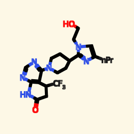 CCCc1cn(CCO)c(C2CCN(c3ncnc4c3C(C(F)(F)F)CC(=O)N4)CC2)n1